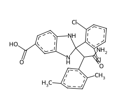 Cc1ccc(C)c(C(C(N)=O)C2(c3c(Cl)cccc3Cl)Nc3ccc(C(=O)O)cc3N2)c1